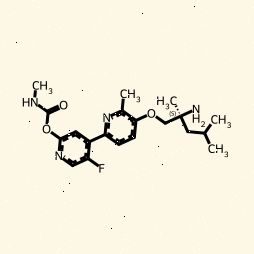 CNC(=O)Oc1cc(-c2ccc(OC[C@@](C)(N)CC(C)C)c(C)n2)c(F)cn1